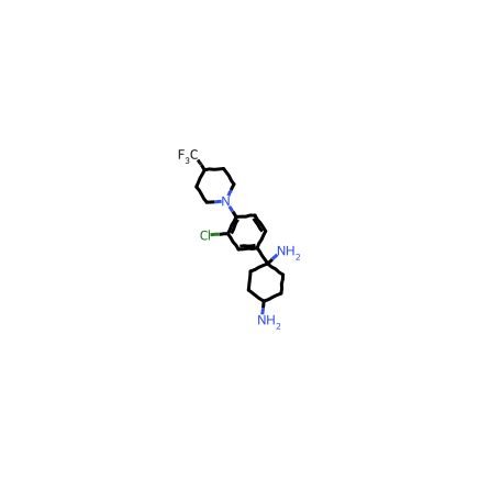 NC1CCC(N)(c2ccc(N3CCC(C(F)(F)F)CC3)c(Cl)c2)CC1